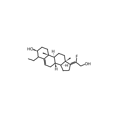 CCC1C2=CC[C@@H]3[C@H](CC[C@]4(C)C(=C(F)CO)CC[C@@H]34)[C@@]2(C)CC[C@@H]1O